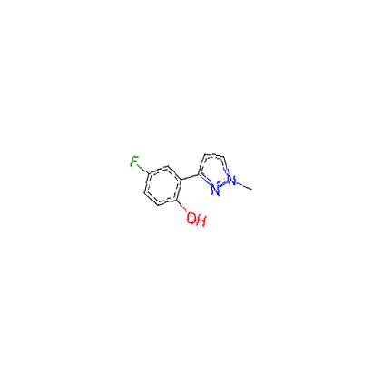 Cn1ccc(-c2cc(F)ccc2O)n1